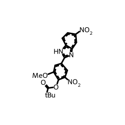 COc1cc(-c2nc3cc([N+](=O)[O-])ccc3[nH]2)cc([N+](=O)[O-])c1OC(=O)C(C)(C)C